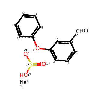 O=Cc1cccc(Oc2ccccc2)c1.O=S([O-])O.[Na+]